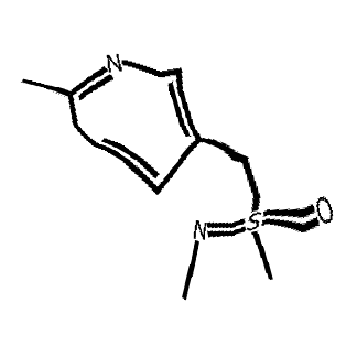 CN=S(C)(=O)Cc1ccc(C)nc1